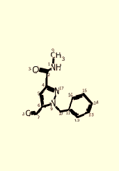 CNC(=O)c1cc(C=O)n(Cc2ccccc2)n1